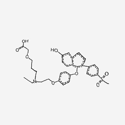 CCN(CCCOCC(=O)O)CCOc1ccc(Oc2c(-c3ccc(S(C)(=O)=O)cc3)ccc3cc(O)ccc23)cc1